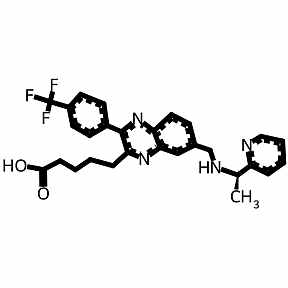 C[C@@H](NCc1ccc2nc(-c3ccc(C(F)(F)F)cc3)c(CCCCC(=O)O)nc2c1)c1ccccn1